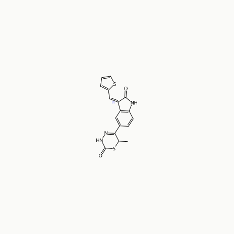 CC1SC(=O)NN=C1c1ccc2c(c1)/C(=C/c1cccs1)C(=O)N2